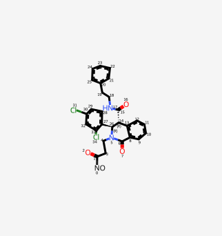 O=NC(=O)CCN1C(=O)c2ccccc2[C@@H](C(=O)NCCc2ccccc2)[C@@H]1c1ccc(Cl)cc1Cl